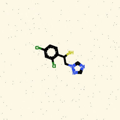 SC(Cn1cncn1)c1ccc(Cl)cc1Cl